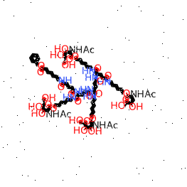 CC(=O)N[C@H]1[C@H](OCCCCCCNC(=O)C(CCC(=O)NCCCCCCO[C@@H]2O[C@H](CO)[C@H](O)C[C@H]2NC(C)=O)NC(=O)CCC(NC(=O)CCC(NC(=O)CCCC(=O)NCCCCCCC(=O)OCc2ccccc2)C(=O)NCCCCCCO[C@@H]2O[C@H](CO)[C@H](O)[C@H](O)[C@H]2NC(C)=O)C(=O)NCCCCCCO[C@@H]2O[C@H](CO)[C@H](O)[C@H](O)[C@H]2NC(C)=O)O[C@H](CO)[C@H](O)[C@@H]1O